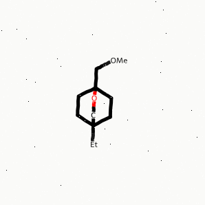 CCC12CCC(COC)(CC1)OC2